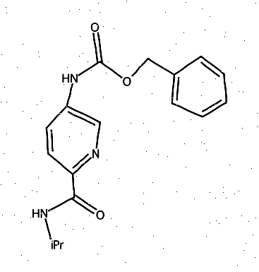 CC(C)NC(=O)c1ccc(NC(=O)OCc2ccccc2)cn1